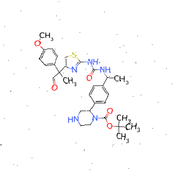 COc1ccc(C(C)(C=O)c2csc(NC(=O)NC(C)c3ccc(C4CNCCN4C(=O)OC(C)(C)C)cc3)n2)cc1